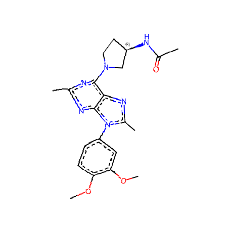 COc1ccc(-n2c(C)nc3c(N4CC[C@@H](NC(C)=O)C4)nc(C)nc32)cc1OC